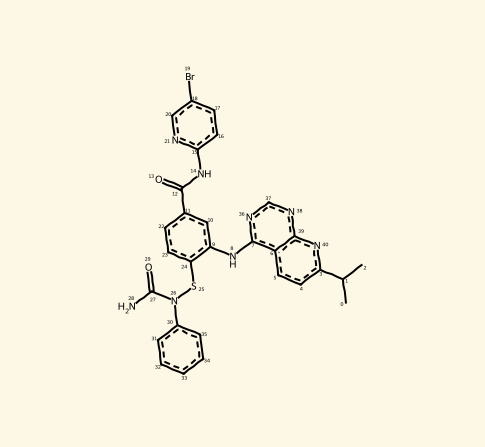 CC(C)c1ccc2c(Nc3cc(C(=O)Nc4ccc(Br)cn4)ccc3SN(C(N)=O)c3ccccc3)ncnc2n1